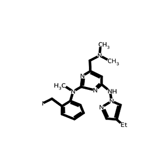 CCc1cnn(Nc2cc(CN(C)C)nc(N(C)c3ccccc3CI)n2)c1